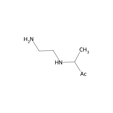 CC(=O)C(C)NCCN